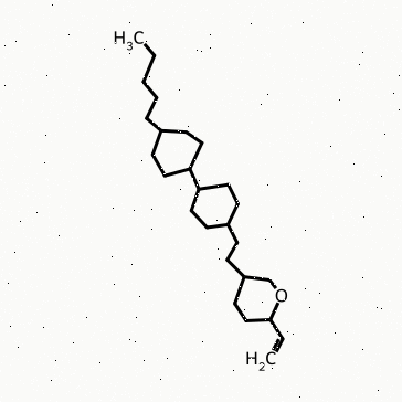 C=CC1CCC(CCC2CCC(C3CCC(CCCCC)CC3)CC2)CO1